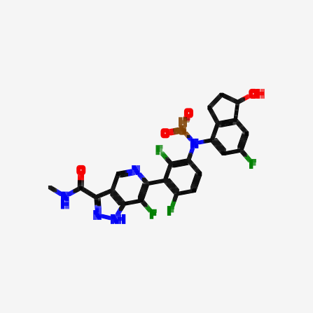 CNC(=O)c1n[nH]c2c(F)c(-c3c(F)ccc(N(c4cc(F)cc5c4CCC5O)[SH](=O)=O)c3F)ncc12